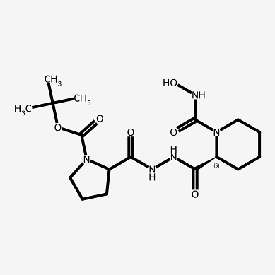 CC(C)(C)OC(=O)N1CCCC1C(=O)NNC(=O)[C@@H]1CCCCN1C(=O)NO